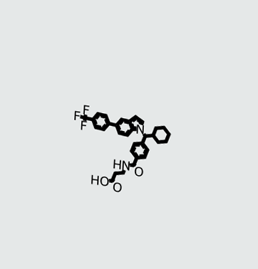 O=C(O)CCNC(=O)c1ccc(C(C2CCCCC2)n2ccc3cc(-c4ccc(C(F)(F)F)cc4)ccc32)cc1